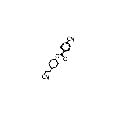 N#CCC[C@H]1CC[C@H](OC(=O)c2ccc(C#N)cc2)CC1